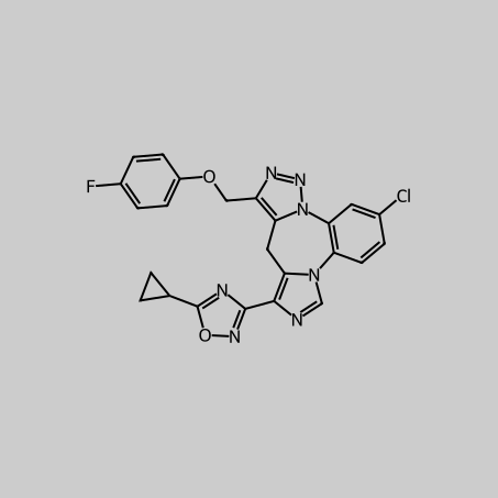 Fc1ccc(OCc2nnn3c2Cc2c(-c4noc(C5CC5)n4)ncn2-c2ccc(Cl)cc2-3)cc1